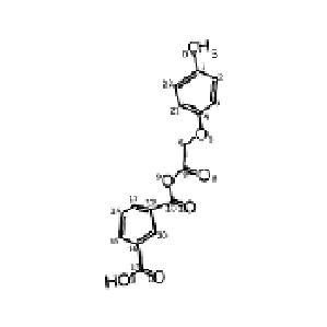 Cc1ccc(OCC(=O)OC(=O)c2cccc(C(=O)O)c2)cc1